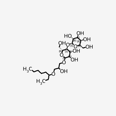 CCCCCC(CC)OCC(O)CO[C@H]1O[C@H](CO)[C@@H](O[C@@H]2O[C@H](CO)[C@H](O)[C@H](O)[C@H]2O)[C@H](O)[C@H]1O